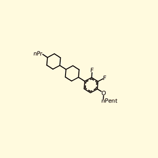 CCCCCOc1ccc(C2CCC(C3CCC(CCC)CC3)CC2)c(F)c1F